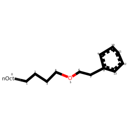 CCCCCCCCCCCCOCCc1ccccc1